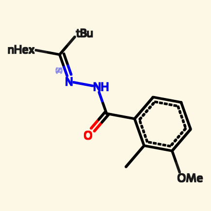 CCCCCC/C(=N/NC(=O)c1cccc(OC)c1C)C(C)(C)C